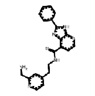 NCc1cc(CCNC(=O)c2ccnc3[nH]c(-c4ccccc4)nc23)ccn1